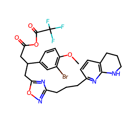 COc1ccc(C(CC(=O)OC(=O)C(F)(F)F)Cc2nc(CCCc3ccc4c(n3)NCCC4)no2)cc1Br